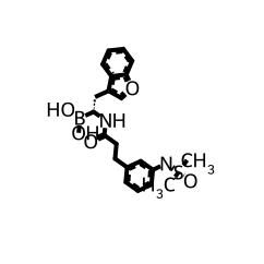 CS(C)(=O)=Nc1cccc(CCC(=O)N[C@@H](Cc2coc3ccccc23)B(O)O)c1